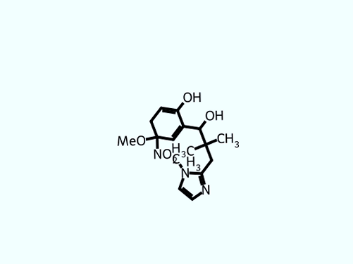 COC1([N+](=O)[O-])C=C(C(O)C(C)(C)Cc2nccn2C)C(O)=CC1